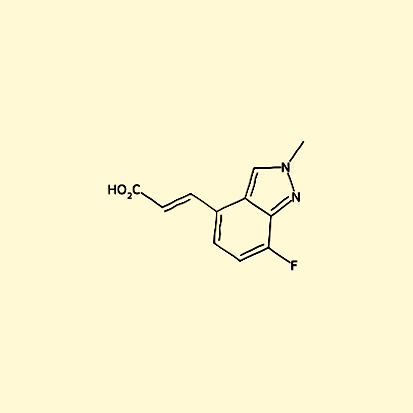 Cn1cc2c(C=CC(=O)O)ccc(F)c2n1